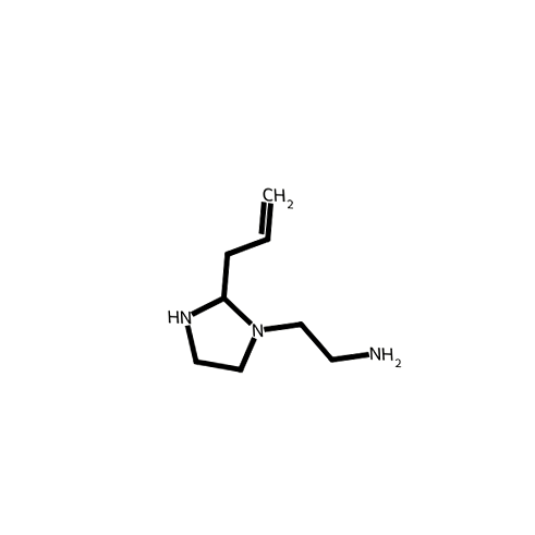 C=CCC1NCCN1CCN